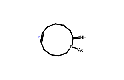 CC(=O)N1CCCC/C=C\CCCCC1=N